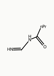 CCCC(=O)N[C]=N